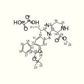 CCCc1nc2c(n1Cc1ccc(-c3ccccc3C(=O)OC(C)(C)C)cc1)C(C(=O)OCC)NCC2.O=C(O)C(=O)O